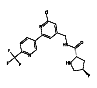 O=C(NCc1cc(Cl)nc(-c2ccc(C(F)(F)F)nc2)c1)[C@@H]1C[C@@H](F)CN1